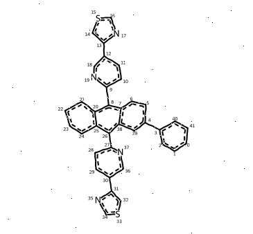 c1ccc(-c2ccc3c(-c4ccc(-c5cscn5)cn4)c4ccccc4c(-c4ccc(-c5cscn5)cn4)c3c2)cc1